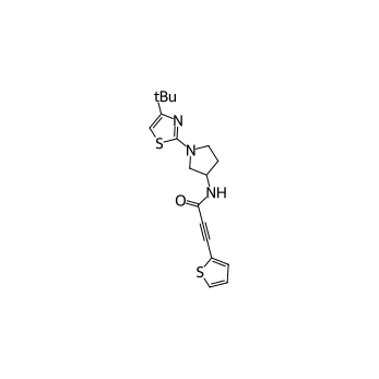 CC(C)(C)c1csc(N2CCC(NC(=O)C#Cc3cccs3)C2)n1